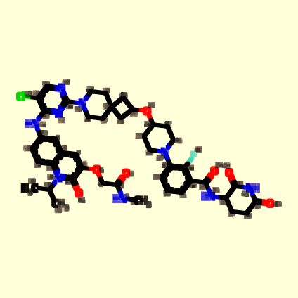 CNC(=O)COc1cc2cc(Nc3nc(N4CCC5(CC4)CC(OC4CCN(c6cccc(C(=O)NC7CCC(=O)NC7=O)c6F)CC4)C5)ncc3Cl)ccc2n(C(C)C)c1=O